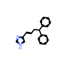 C(=Cc1c[nH]cn1)CC(c1ccccc1)c1ccccc1